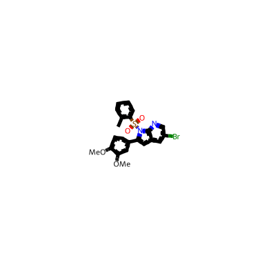 COc1ccc(-c2cc3cc(Br)cnc3n2S(=O)(=O)c2ccccc2C)cc1OC